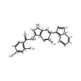 O=C(Nc1n[nH]c2nc(-c3cnn4ccccc34)c(F)cc12)c1ccc(F)cc1F